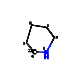 C1CCN[13CH2]C1